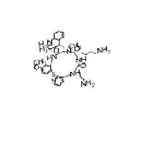 C/C=C(/C[C@H]1C(=O)NCc2cc(OC)ccc2Sc2ncccc2CN[C@@H](CCCN)C(=O)N[C@@H](CCCCN)C(=O)N1C)c1ccccc1N